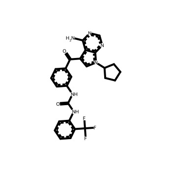 Nc1ncnc2c1c(C(=O)c1cccc(NC(=O)Nc3ccccc3C(F)(F)F)c1)cn2C1CCCC1